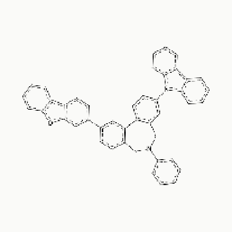 c1ccc(N2Cc3cc(-n4c5ccccc5c5ccccc54)ccc3-c3cc(-c4ccc5c(c4)oc4ccccc45)ccc3C2)cc1